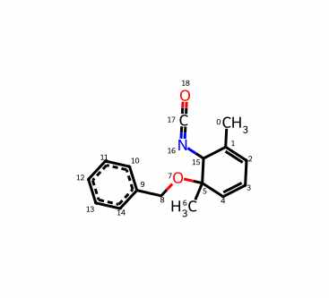 CC1=CC=CC(C)(OCc2ccccc2)C1N=C=O